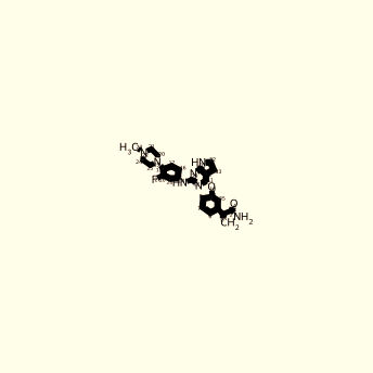 C=C(C(N)=O)c1cccc(Oc2nc(Nc3ccc(N4CCN(C)CC4)c(F)c3)nc3[nH]ccc23)c1